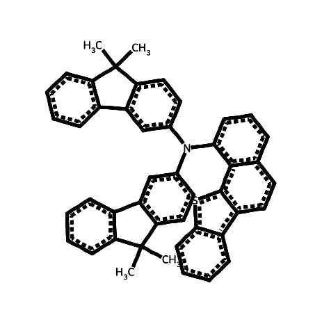 CC1(C)c2ccccc2-c2cc(N(c3ccc4c(c3)-c3ccccc3C4(C)C)c3cccc4ccc5c6ccccc6sc5c34)ccc21